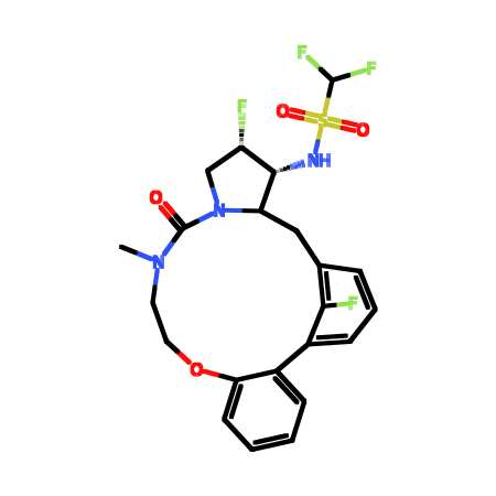 CN1CCOc2ccccc2-c2cccc(c2F)CC2[C@@H](NS(=O)(=O)C(F)F)[C@@H](F)CN2C1=O